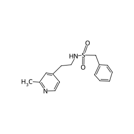 Cc1cc(CCNS(=O)(=O)Cc2ccccc2)ccn1